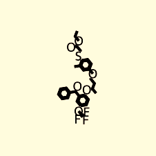 CCOC(=O)CSc1ccc(OCCC(C)Oc2ccc(OC(F)(F)F)cc2C(=O)c2ccccc2)cc1C